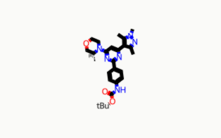 Cc1nn(C)c(C)c1-c1cc(N2CCOC[C@H]2C)nc(-c2ccc(NC(=O)OC(C)(C)C)cc2)n1